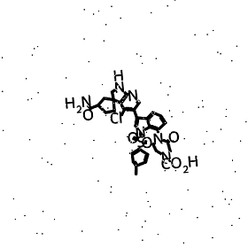 Cc1ccc(S(=O)(=O)n2cc(-c3cnc4c(c3Cl)C3(CCC(C(N)=O)C3)CN4)c3cccc(N4CCN(C(=O)O)CC4=O)c32)cc1